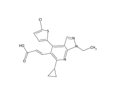 CCn1ncc2c(-c3ccc(Cl)s3)c(C=CC(=O)O)c(C3CC3)nc21